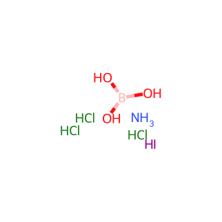 Cl.Cl.Cl.I.N.OB(O)O